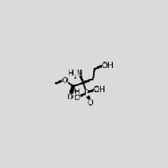 COC(=O)C(N)(CCO)P(=O)(O)O